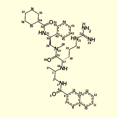 CC(CNC(=O)c1ccc2ccccc2c1)N[C@@H](CCCNC(=N)N)C(=O)N(C)C[C@@H](NC(=O)C1CCCCC1)c1ccccc1